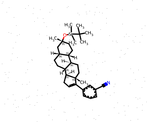 CC(C)(C)[Si](C)(C)O[C@]1(C)CC[C@H]2[C@H](CC[C@@H]3[C@@H]2CC[C@]2(C)C(c4cccc(C#N)c4)=CC[C@@H]32)C1